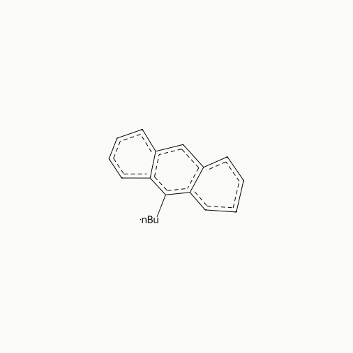 [CH2]CC[CH]c1c2ccccc2cc2ccccc12